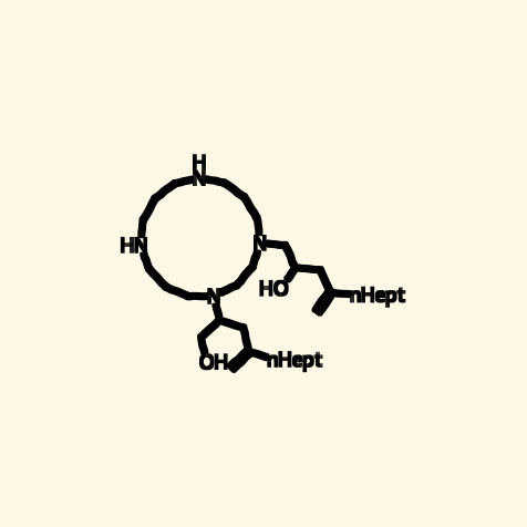 C=C(CCCCCCC)CC(O)CN1CCCNCCCNCCCN(C(CO)CC(=C)CCCCCCC)CC1